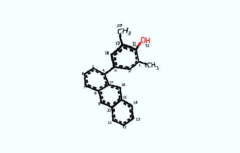 Cc1cc(-c2cccc3cc4ccccc4cc23)cc(C)c1O